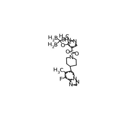 BC(B)(B)Oc1c(S(=O)(=O)N2CCC(c3cn4ncnc4c(F)c3C)CC2)cnn1C